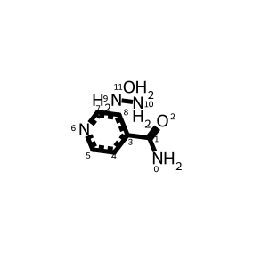 NC(=O)c1ccncc1.NN.O